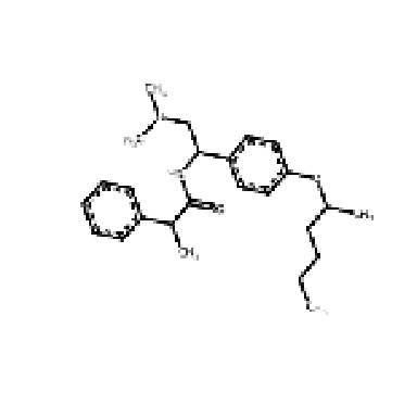 CCCCC(C)Oc1ccc(C(CN(C)C)NC(=O)C(C)c2ccccc2)cc1